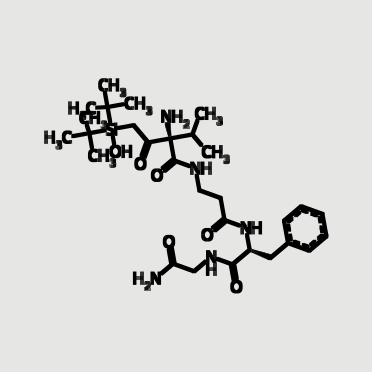 CC(C)[C@@](N)(C(=O)C[Si](O)(C(C)(C)C)C(C)(C)C)C(=O)NCCC(=O)N[C@@H](Cc1ccccc1)C(=O)NCC(N)=O